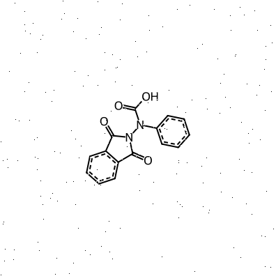 O=C1c2ccccc2C(=O)N1N(C(=O)O)c1ccccc1